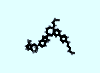 CCCCOCCOc1ccc(-c2ccc3c(c2)/C=C(/c2nc4cc([S+]([O-])Cc5c(C)ncn5CCC)ccc4[nH]2)CCCN3CCOC)cc1